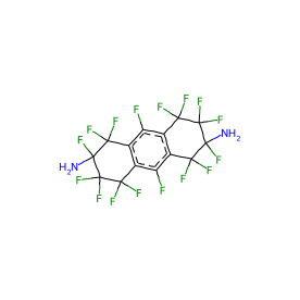 NC1(F)C(F)(F)c2c(F)c3c(c(F)c2C(F)(F)C1(F)F)C(F)(F)C(N)(F)C(F)(F)C3(F)F